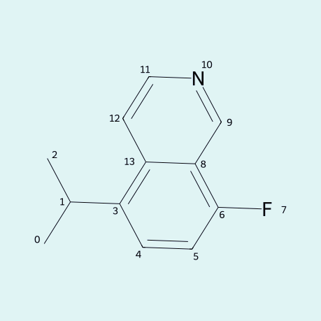 CC(C)c1ccc(F)c2cnccc12